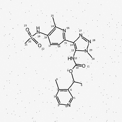 Cc1ccncc1C(C)OC(=O)Nc1c(-c2ccc(NS(C)(=O)=O)c(C)n2)nnn1C